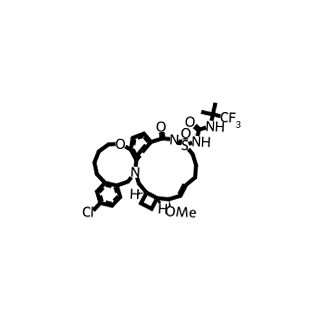 CO[C@H]1/C=C/CCCS(=O)(NC(=O)NC(C)(C)C(F)(F)F)=NC(=O)c2ccc3c(c2)N(Cc2ccc(Cl)cc2CCCCO3)C[C@@H]2CC[C@H]21